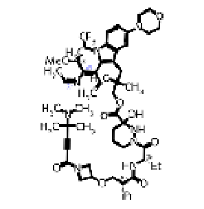 C=C/C(=C(\N=C/C)[C@H](C)OC)c1c(CC(C)(C)COC(=O)C2(O)CCCN(C(=O)[C@H](CC)NC(=O)[C@@H](COC3CN(C(=O)C#CC(C)(C)N(C)C)C3)C(C)C)N2)c2cc(N3CCOCC3)ccc2n1CC(F)(F)F